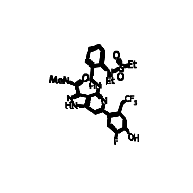 CCN(c1ccccc1CNc1nc(-c2cc(F)c(O)cc2CC(F)(F)F)cc2[nH]nc(C(=O)NC)c12)S(=O)(=O)CC